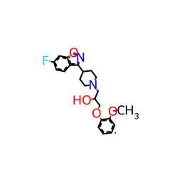 COc1c[c]ccc1OCC(O)CN1CCC(c2noc3cc(F)ccc23)CC1